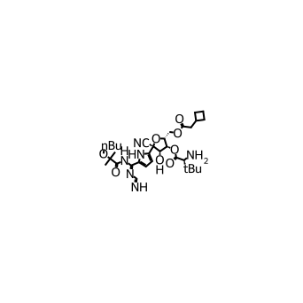 CCCCOC(C)(C)C(=O)N/C(=N/C=N)c1ccc([C@]2(C#N)O[C@H](COC(=O)CC3CCC3)[C@@H](OC(=O)[C@@H](N)C(C)(C)C)[C@H]2O)[nH]1